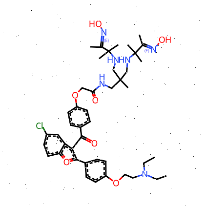 CCN(CC)CCOc1ccc(-c2oc3ccc(Cl)cc3c2C(=O)c2ccc(OCC(=O)NCC(C)(CNC(C)(C)/C(C)=N/O)CNC(C)(C)/C(C)=N/O)cc2)cc1